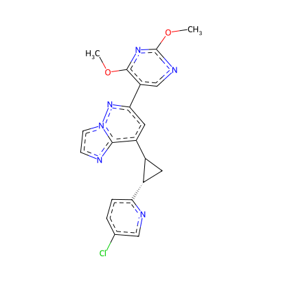 COc1ncc(-c2cc(C3C[C@@H]3c3ccc(Cl)cn3)c3nccn3n2)c(OC)n1